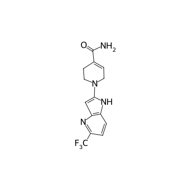 NC(=O)C1=CCN(c2cc3nc(C(F)(F)F)ccc3[nH]2)CC1